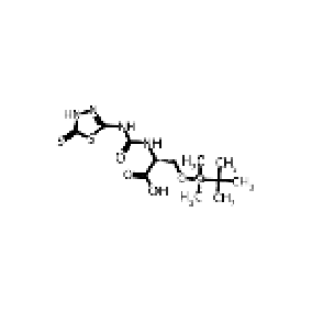 CC(C)(C)[Si](C)(C)OC[C@H](NC(=O)Nc1n[nH]c(=S)s1)C(=O)O